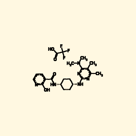 Cc1nc(N[C@H]2CC[C@@H](NC(=O)c3cccnc3O)CC2)nc(N(C)C)c1C.O=C(O)C(F)(F)F